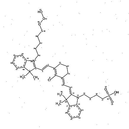 CC1(C)C(/C=C/C2=C(Cl)C(=C/C=C3/N(CCCCS(=O)(=O)O)c4ccccc4C3(C)C)/CCC2)=[N+](CCCCSOOO)c2ccccc21